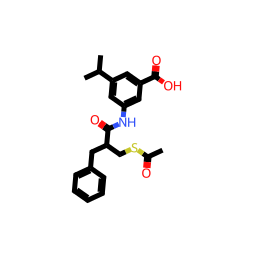 CC(=O)SCC(Cc1ccccc1)C(=O)Nc1cc(C(=O)O)cc(C(C)C)c1